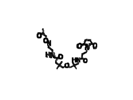 CC(=O)CO/N=C/CNC(=O)CC(C)(C)COCC(C)(C)CNC(=O)CCN1C(=O)C=CC1=O